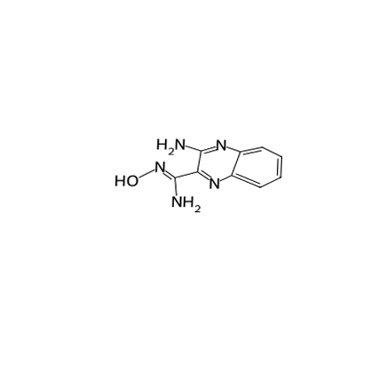 N/C(=N\O)c1nc2ccccc2nc1N